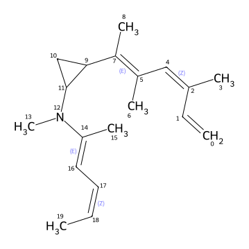 C=C/C(C)=C\C(C)=C(/C)C1CC1N(C)/C(C)=C/C=C\C